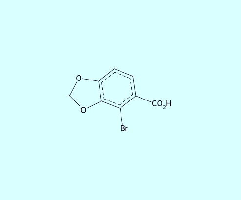 O=C(O)c1ccc2c(c1Br)OCO2